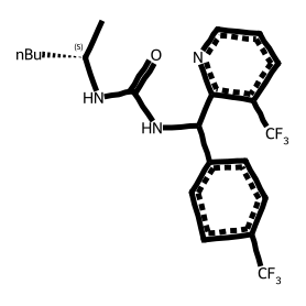 CCCC[C@H](C)NC(=O)NC(c1ccc(C(F)(F)F)cc1)c1ncccc1C(F)(F)F